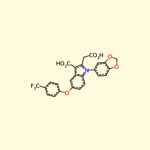 O=C(O)Cc1c(C(=O)O)c2cc(Oc3ccc(C(F)(F)F)cc3)ccc2n1-c1ccc2c(c1)OCO2